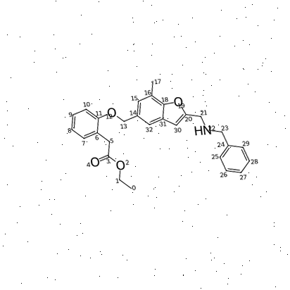 CCOC(=O)Cc1ccccc1OCc1cc(C)c2oc(CNCc3ccccc3)cc2c1